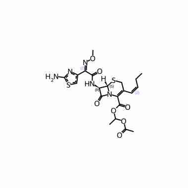 CC/C=C\C1=C(C(=O)OC(C)OC(C)=O)N2C(=O)[C@@H](NC(=O)/C(=N\OC)c3csc(N)n3)[C@@H]2SC1